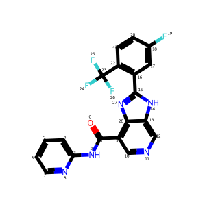 O=C(Nc1ccccn1)c1cncc2[nH]c(-c3cc(F)ccc3C(F)(F)F)nc12